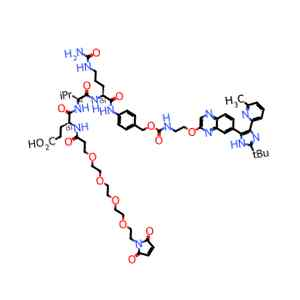 Cc1cccc(-c2nc(C(C)(C)C)[nH]c2-c2ccc3ncc(OCCNC(=O)OCc4ccc(NC(=O)[C@H](CCCNC(N)=O)NC(=O)[C@@H](NC(=O)[C@H](CCC(=O)O)NC(=O)CCOCCOCCOCCOCCN5C(=O)C=CC5=O)C(C)C)cc4)nc3c2)n1